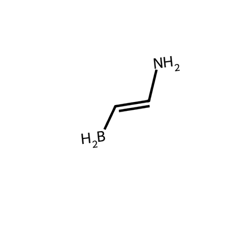 BC=CN